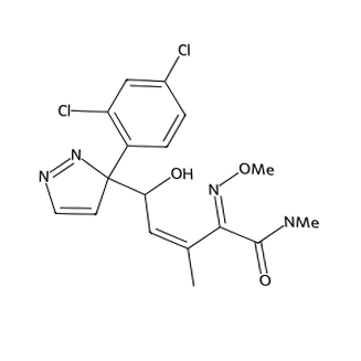 CNC(=O)C(=NOC)C(C)=CC(O)C1(c2ccc(Cl)cc2Cl)C=CN=N1